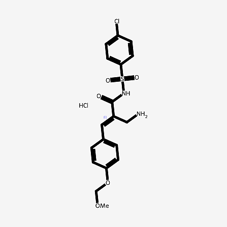 COCOc1ccc(/C=C(\CN)C(=O)NS(=O)(=O)c2ccc(Cl)cc2)cc1.Cl